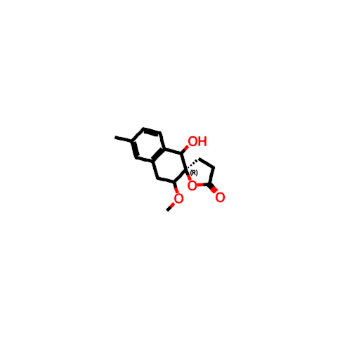 COC1Cc2cc(C)ccc2C(O)[C@]12CCC(=O)O2